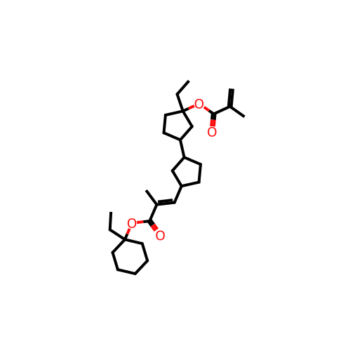 C=C(C)C(=O)OC1(CC)CCC(C2CCC(/C=C(\C)C(=O)OC3(CC)CCCCC3)C2)C1